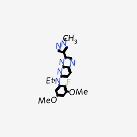 CCN(c1ccc2ncc(-c3cnn(C)c3)nc2n1)c1cc(OC)cc(OC)c1F